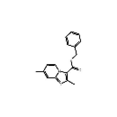 Cc1ccn2c(C(=O)SCc3ccccc3)c(C)nc2c1